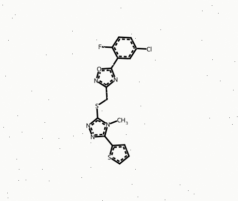 Cn1c(SCc2noc(-c3cc(Cl)ccc3F)n2)nnc1-c1cccs1